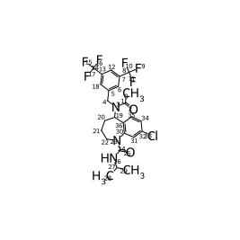 CC(=O)N(Cc1cc(C(F)(F)F)cc(C(F)(F)F)c1)C1CCCN(C(=O)NC(C)C)c2cc(Cl)ccc21